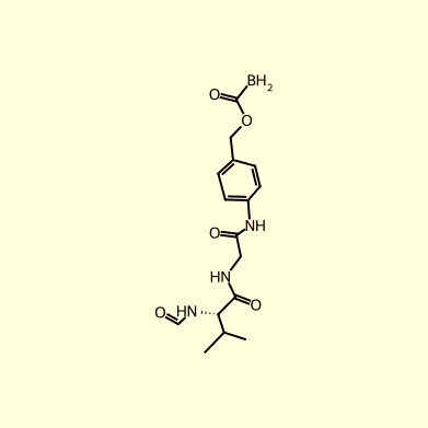 BC(=O)OCc1ccc(NC(=O)CNC(=O)[C@@H](NC=O)C(C)C)cc1